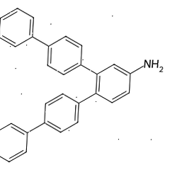 Nc1ccc(-c2ccc(-c3ccccc3)cc2)c(-c2ccc(-c3ccccc3)cc2)c1